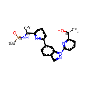 CCC[C@H](N[S@+]([O-])C(C)(C)C)c1cccc(-c2ccc3cnn(-c4cccc([C@H](O)C(F)(F)F)n4)c3c2)n1